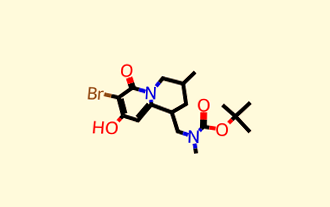 CC1CC(CN(C)C(=O)OC(C)(C)C)c2cc(O)c(Br)c(=O)n2C1